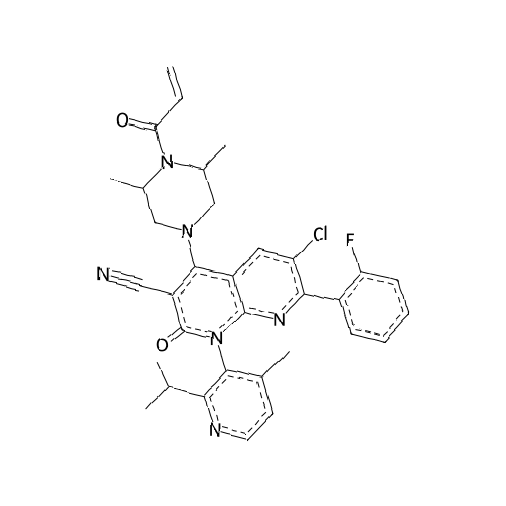 C=CC(=O)N1C(C)CN(c2c(C#N)c(=O)n(-c3c(C)ccnc3C(C)C)c3nc(-c4ccccc4F)c(Cl)cc23)CC1C